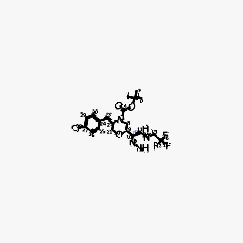 CC(C)(C)OC(=O)N1CC(/C(=C/NCC(F)(F)F)N=N)OCC1Cc1ccc(Cl)cc1